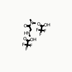 CNCC(=O)N(C)C.O=C(O)C(F)(F)F.O=C(O)C(F)(F)F